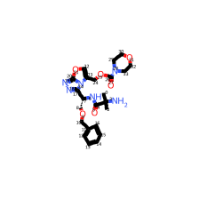 CC(C)(N)C(=O)N[C@H](COCc1ccccc1)c1nnc2occ(COC(=O)N3CCOCC3)n12